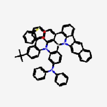 CC(C)(C)c1ccc(N2c3cc(N(c4ccccc4)c4ccccc4)ccc3B3c4c(cc5sc6ccccc6c5c42)-c2cccc4c5cc6ccccc6cc5n3c24)c(-c2ccccc2)c1